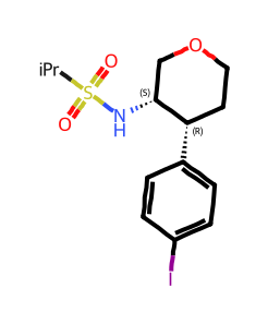 CC(C)S(=O)(=O)N[C@@H]1COCC[C@@H]1c1ccc(I)cc1